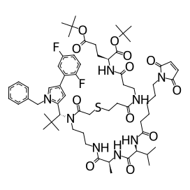 CC(C)[C@H](NC(=O)CCCCCN1C(=O)C=CC1=O)C(=O)N[C@@H](C)C(=O)NCCCN(C(=O)CSCCC(=O)NCCC(=O)N[C@@H](CCC(=O)OC(C)(C)C)C(=O)OC(C)(C)C)[C@@H](c1cc(-c2cc(F)ccc2F)cn1Cc1ccccc1)C(C)(C)C